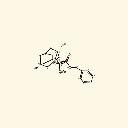 COC(=O)[C@]12CC3C[C@H](C1)C(NC(=O)OCc1ccccc1)[C@@H](C3)C2